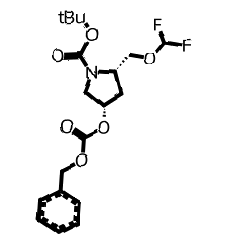 CC(C)(C)OC(=O)N1C[C@@H](OC(=O)OCc2ccccc2)C[C@H]1COC(F)F